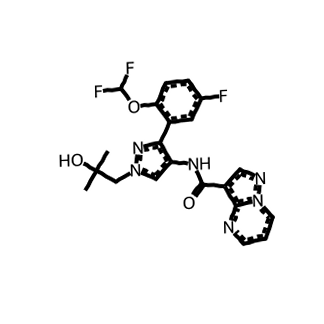 CC(C)(O)Cn1cc(NC(=O)c2cnn3cccnc23)c(-c2cc(F)ccc2OC(F)F)n1